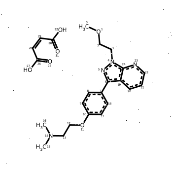 COCCn1nc(-c2ccc(OCCN(C)C)cc2)c2cccnc21.O=C(O)/C=C\C(=O)O